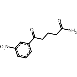 NC(=O)CCCC(=O)c1cccc([N+](=O)[O-])c1